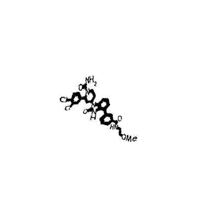 COCCNC(=O)c1cccc(-c2cccc3c2[nH]c(=O)n3C2CCN(C(N)=O)C(c3ccc(Cl)c(Cl)c3)C2)c1